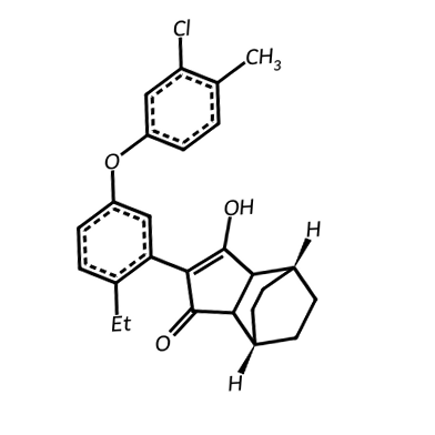 CCc1ccc(Oc2ccc(C)c(Cl)c2)cc1C1=C(O)C2C(C1=O)[C@H]1CC[C@@H]2CC1